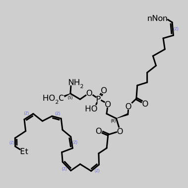 CC/C=C\C/C=C\C/C=C\C/C=C\C/C=C\C/C=C\CCC(=O)O[C@H](COC(=O)CCCCCCC/C=C\CCCCCCCCC)COP(=O)(O)OC[C@H](N)C(=O)O